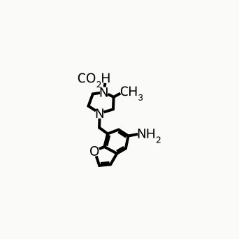 CC1CN(Cc2cc(N)cc3ccoc23)CCN1C(=O)O